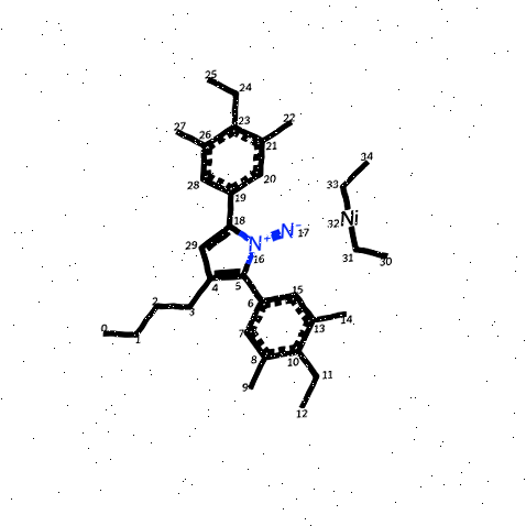 CCCCC1=C(c2cc(C)c(CC)c(C)c2)[N+](=[N-])C(c2cc(C)c(CC)c(C)c2)=C1.C[CH2][Ni][CH2]C